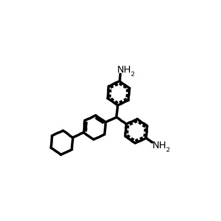 Nc1ccc(C(C2=CC=C(C3CCCCC3)CC2)c2ccc(N)cc2)cc1